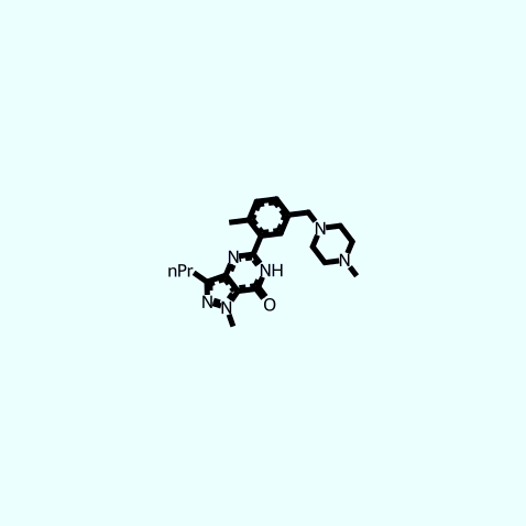 CCCc1nn(C)c2c(=O)[nH]c(-c3cc(CN4CCN(C)CC4)ccc3C)nc12